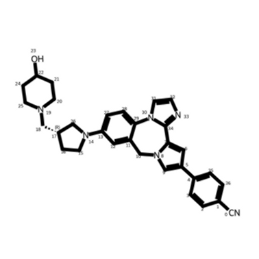 N#Cc1ccc(-c2cc3n(c2)Cc2cc(N4CC[C@H](CN5CCC(O)CC5)C4)ccc2-n2ccnc2-3)cc1